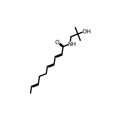 CC=CCCC=CC=CC(=O)NCC(C)(C)O